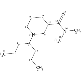 CCCC(CCC)N1CCCC(C(=O)N(C)C)C1